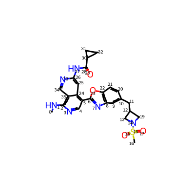 CNc1ncc(-c2nc3cc(CC4CN(S(C)(=O)=O)C4)ccc3o2)c2cc(NC(=O)C3CC3)ncc12